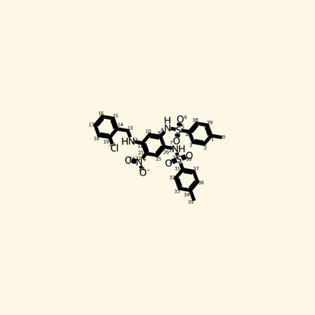 Cc1ccc(S(=O)(=O)Nc2cc(NCc3ccccc3Cl)c([N+](=O)[O-])cc2NS(=O)(=O)c2ccc(C)cc2)cc1